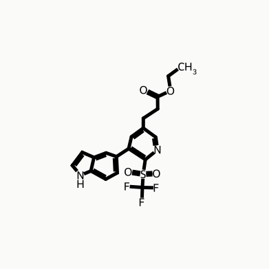 CCOC(=O)CCc1cnc(S(=O)(=O)C(F)(F)F)c(-c2ccc3[nH]ccc3c2)c1